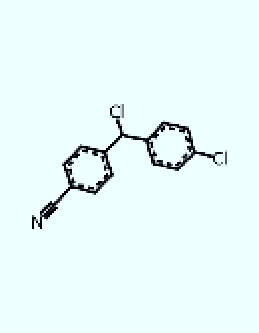 N#Cc1ccc(C(Cl)c2ccc(Cl)cc2)cc1